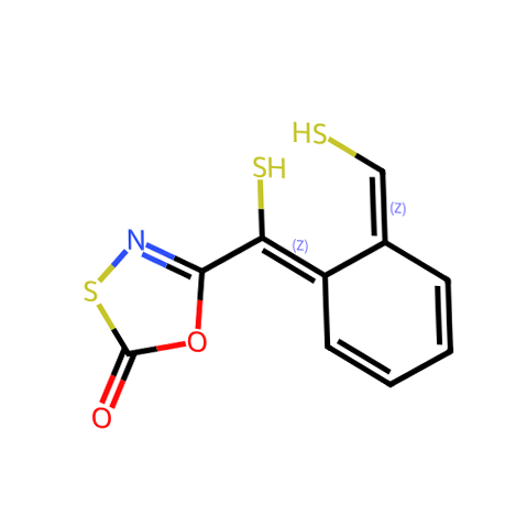 O=c1oc(/C(S)=c2\cccc\c2=C\S)ns1